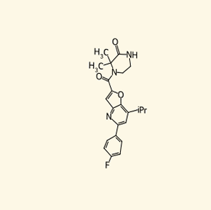 CC(C)c1cc(-c2ccc(F)cc2)nc2cc(C(=O)N3CCNC(=O)C3(C)C)oc12